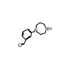 O=Cc1cccc(N2CCCNCC2)c1